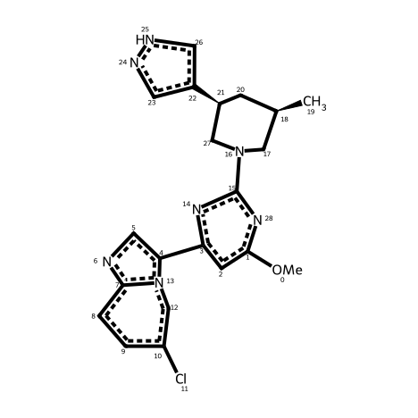 COc1cc(-c2cnc3ccc(Cl)cn23)nc(N2C[C@H](C)C[C@H](c3cn[nH]c3)C2)n1